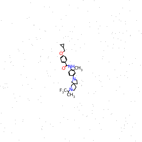 Cc1cc(N2CCC3(CCN(C(C)C(F)(F)F)C3)C2)ccc1NC(=O)c1ccc(OCC2CC2)cc1